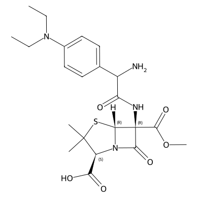 CCN(CC)c1ccc(C(N)C(=O)N[C@@]2(C(=O)OC)C(=O)N3[C@@H](C(=O)O)C(C)(C)S[C@@H]32)cc1